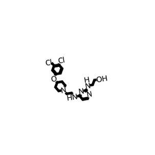 OCCNc1nccc(NCCN2CCC(Oc3ccc(Cl)c(Cl)c3)CC2)n1